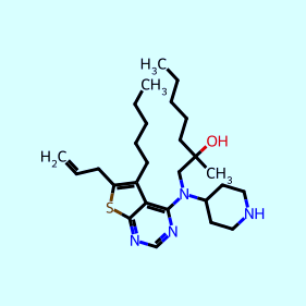 C=CCc1sc2ncnc(N(CC(C)(O)CCCCC)C3CCNCC3)c2c1CCCCC